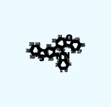 c1ccc2c(c1)nc1c3c(ccc4oc5ccccc5c43)c3cc4c(cc3n21)sc1ccccc14